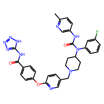 Cc1ccc(NC(=O)N(c2cccc(F)c2)C2CCN(Cc3ccc(Oc4ccc(C(=O)Nc5nnn[nH]5)cc4)nc3)CC2)cn1